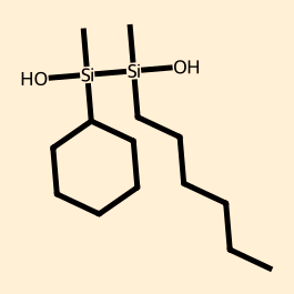 CCCCCC[Si](C)(O)[Si](C)(O)C1CCCCC1